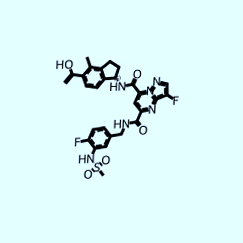 C=C(O)c1ccc2c(c1C)CC[C@@H]2NC(=O)c1cc(C(=O)NCc2ccc(F)c(NS(C)(=O)=O)c2)nc2c(F)cnn12